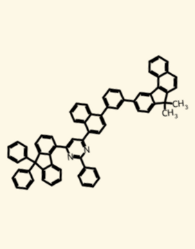 CC1(C)c2ccc(-c3cccc(-c4ccc(-c5cc(-c6cccc7c6-c6ccccc6C7(c6ccccc6)c6ccccc6)nc(-c6ccccc6)n5)c5ccccc45)c3)cc2-c2c1ccc1ccccc21